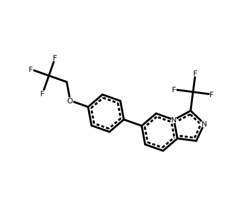 FC(F)(F)COc1ccc(-c2ccc3cnc(C(F)(F)F)n3c2)cc1